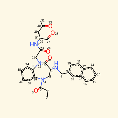 CCC(=O)N1CC(NCc2ccc3ccccc3c2)C(=O)N(CC(=O)N[C@H](C=O)CC(C)=O)c2ccccc21